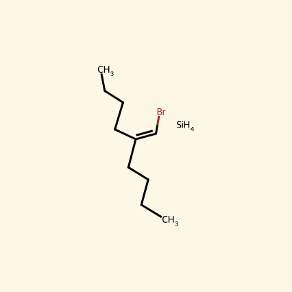 CCCCC(=CBr)CCCC.[SiH4]